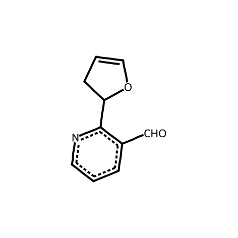 O=Cc1cccnc1C1CC=CO1